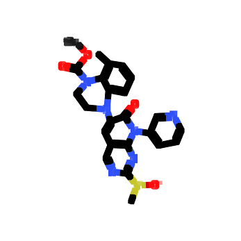 Cc1cccc2c1N(C(=O)OC(C)(C)C)CCN2c1cc2cnc([S+](C)[O-])nc2n(-c2cccnc2)c1=O